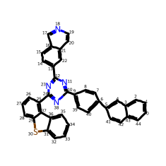 c1ccc2cc(-c3ccc(-c4nc(-c5ccc6cnccc6c5)nc(-c5cccc6sc7ccccc7c56)n4)cc3)ccc2c1